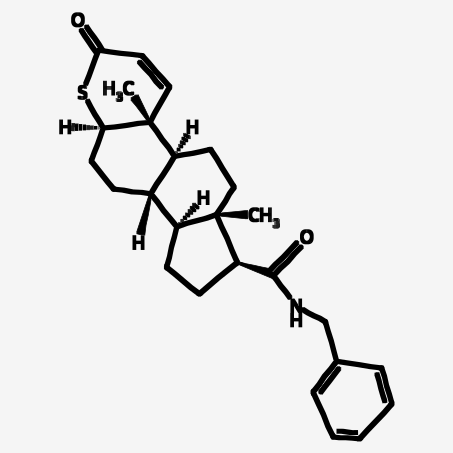 C[C@]12C=CC(=O)S[C@@H]1CC[C@@H]1[C@@H]2CC[C@]2(C)[C@@H](C(=O)NCc3ccccc3)CC[C@@H]12